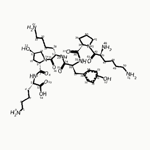 NCCCC[C@H](NC(=O)[C@@H]1C[C@@H](O)CN1C(=O)[C@H](CCCCN)NC(=O)[C@H](Cc1ccc(O)cc1)NC(=O)[C@@H]1CCCN1C(=O)[C@@H](N)CCCCN)C(=O)O